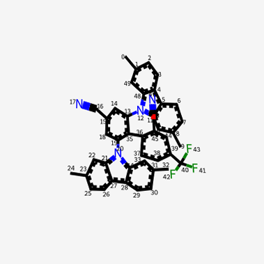 Cc1ccc2c3ccc(C)cc3n(-c3cc(C#N)cc(-n4c5cc(C)ccc5c5ccc(C)cc54)c3-c3ccc(C(F)(F)F)cc3C#N)c2c1